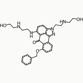 O=C1c2c(OCc3ccccc3)cccc2-c2nn(CCNCCO)c3ccc(NCCNCCO)c1c23